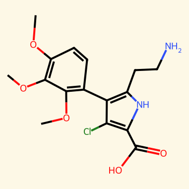 COc1ccc(-c2c(CCN)[nH]c(C(=O)O)c2Cl)c(OC)c1OC